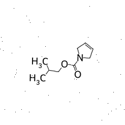 CC(C)COC(=O)N1CC=CC1